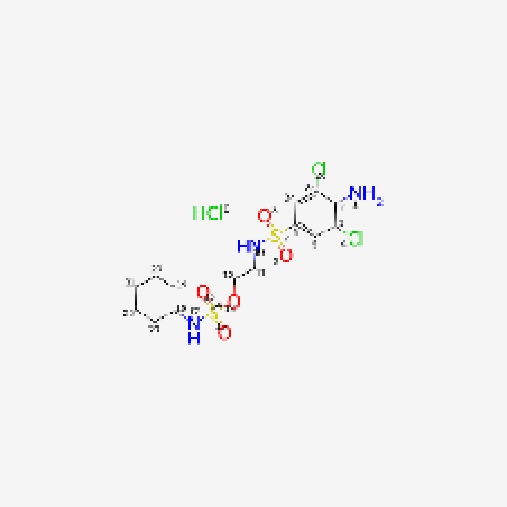 Cl.Nc1c(Cl)cc(S(=O)(=O)NCCOS(=O)(=O)NC2CCCCC2)cc1Cl